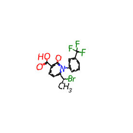 CC(Br)c1ccc(C(=O)O)c(=O)n1-c1cccc(C(F)(F)F)c1